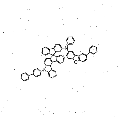 c1ccc(-c2ccc(-n3c4ccccc4c4c5c(ccc43)C3(c4ccccc4-c4ccc(N(c6ccccc6)c6ccc7oc8ccc(-c9ccccc9)cc8c7c6)cc43)c3ccccc3-5)cc2)cc1